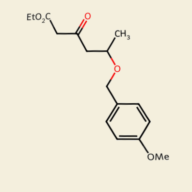 CCOC(=O)CC(=O)CC(C)OCc1ccc(OC)cc1